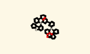 c1ccc(-c2ccccc2N(c2cccc(-c3cccc(N(c4ccccc4-c4ccccc4)c4cccc5oc6ccccc6c45)c3)c2)c2cccc3oc4ccccc4c23)cc1